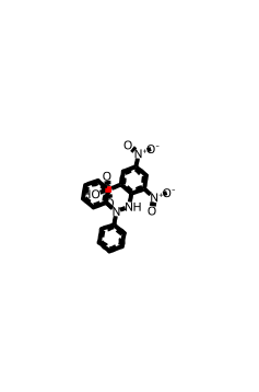 O=[N+]([O-])c1cc([N+](=O)[O-])c(NN(c2ccccc2)c2ccccc2)c(S(=O)(=O)O)c1